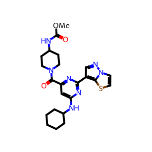 COC(=O)NC1CCN(C(=O)c2cc(NC3CCCCC3)nc(-c3cnn4ccsc34)n2)CC1